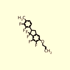 C=CCOc1cc2c(c(F)c1F)C(F)(F)C(c1ccc(C)c(F)c1F)C2